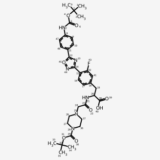 CC(C)(C)OC(=O)Nc1ccc(-c2nc(-c3ccc(CC(NC(=O)CN4CCN(C(=O)OC(C)(C)C)CC4)C(=O)O)cc3F)no2)cc1